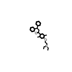 CCN(CC)CCOc1cc(C)c(C(=O)CC(c2ccccc2)c2ccccc2)cc1C